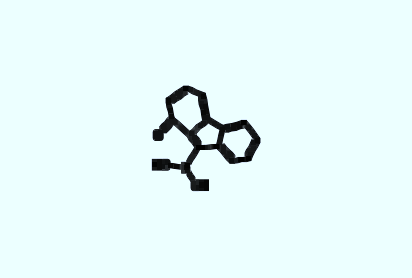 O=C1C=CC=C2C1=C(B(O)O)c1ccccc12